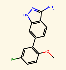 COc1ccc(F)cc1-c1ccc2c(N)n[nH]c2c1